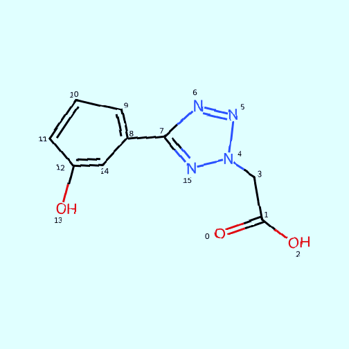 O=C(O)Cn1nnc(-c2cccc(O)c2)n1